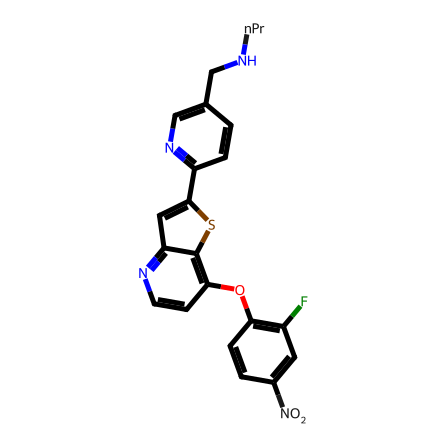 CCCNCc1ccc(-c2cc3nccc(Oc4ccc([N+](=O)[O-])cc4F)c3s2)nc1